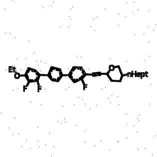 CCCCCCCC1CCC(C#Cc2ccc(-c3ccc(-c4ccc(OCC)c(F)c4F)cc3)cc2F)OC1